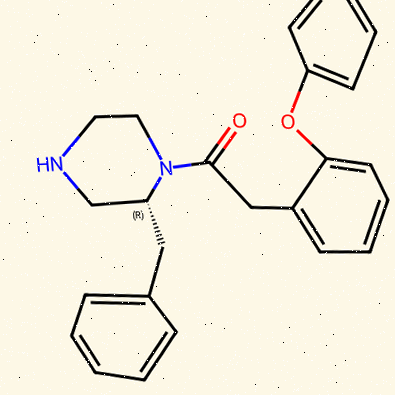 O=C(Cc1ccccc1Oc1ccccc1)N1CCNC[C@H]1Cc1ccccc1